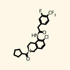 O=C(Cc1ccc(C(F)(F)F)c(F)c1)Nc1c(Cl)ccc2c1CCN(C(=O)C1CCCC1)C2